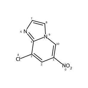 O=[N+]([O-])c1cc(Cl)c2nccn2c1